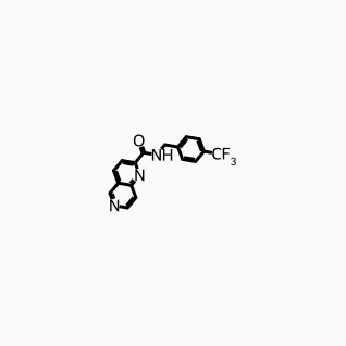 O=C(NCc1ccc(C(F)(F)F)cc1)c1ccc2cnccc2n1